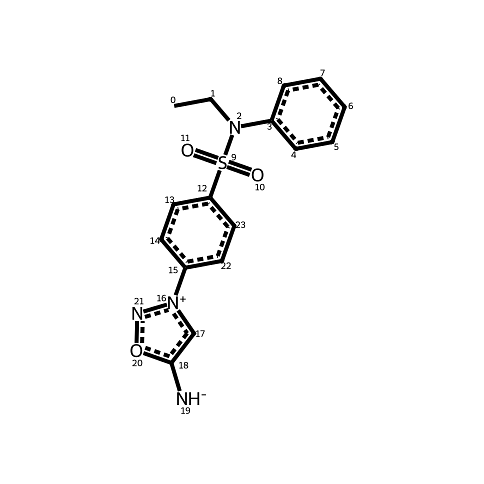 CCN(c1ccccc1)S(=O)(=O)c1ccc(-[n+]2cc([NH-])on2)cc1